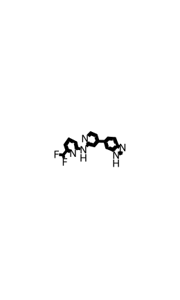 FC(F)c1cccc(Nc2cc(-c3ccc4nc[nH]c4c3)ccn2)n1